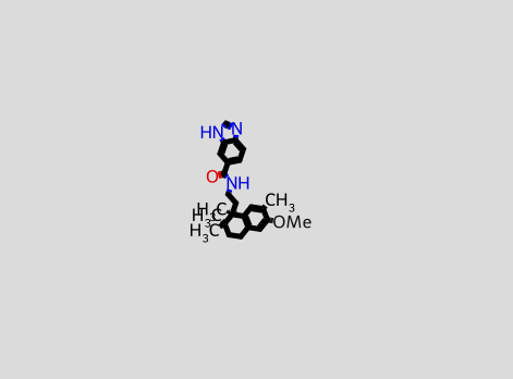 COc1cc2c(cc1C)[C@@](C)(CCNC(=O)c1ccc3nc[nH]c3c1)C(C)(C)CC2